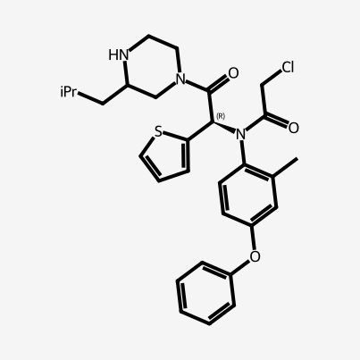 Cc1cc(Oc2ccccc2)ccc1N(C(=O)CCl)[C@H](C(=O)N1CCNC(CC(C)C)C1)c1cccs1